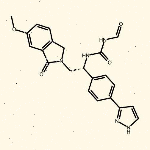 COc1ccc2c(c1)C(=O)N(C[C@H](NC(=O)NC=O)c1ccc(-c3cc[nH]n3)cc1)C2